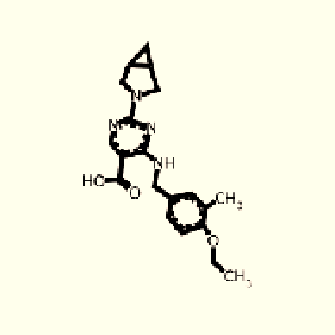 CCOc1ccc(CNc2nc(N3CC4CC4C3)ncc2C(=O)O)cc1C